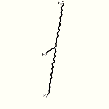 CCCCCCCCC=CCCCCCCCCN(CCCO)CCCCCCCCC=CCCCCCCCC